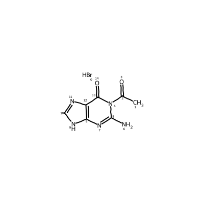 Br.CC(=O)n1c(N)nc2[nH]cnc2c1=O